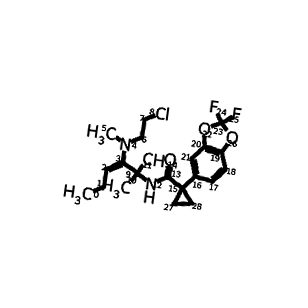 CC/C=C(/N(C)CCCl)C(C)(C)NC(=O)C1(c2ccc3c(c2)OC(F)(F)O3)CC1